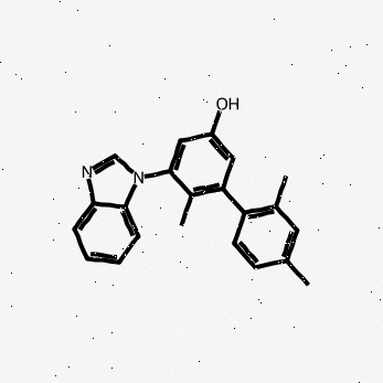 Cc1ccc(-c2cc(O)cc(-n3cnc4ccccc43)c2C)c(C)c1